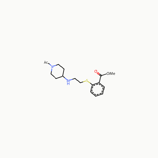 COC(=O)c1ccccc1SCCNC1CCN(C(C)=O)CC1